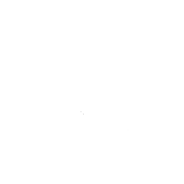 CCC(CCC(=O)O)n1c(C)c(C(=O)c2ccc(O)c(O)c2)c2ccccc21